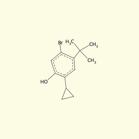 CC(C)(C)c1cc(C2CC2)c(O)cc1Br